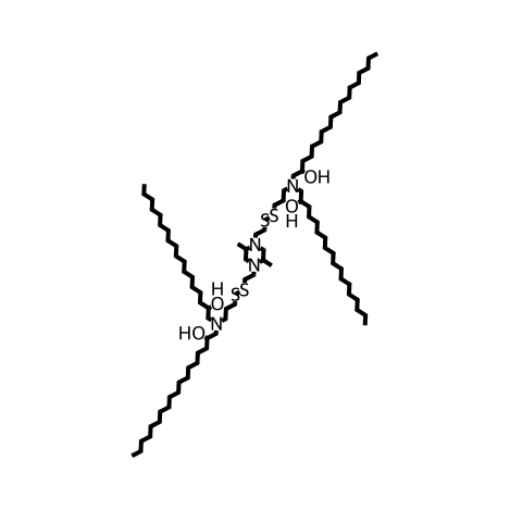 CCCCCCCCCCCCCCCCC(O)CN(CCCSSCCN1CC(C)N(CCSSCCCN(CC(O)CCCCCCCCCCCCCCCC)CC(O)CCCCCCCCCCCCCCCC)CC1C)CC(O)CCCCCCCCCCCCCCCC